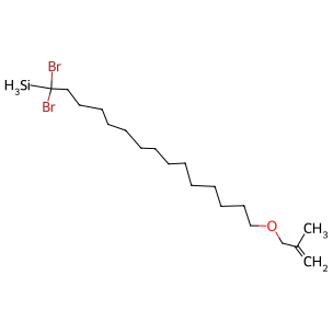 C=C(C)COCCCCCCCCCCCCCCC([SiH3])(Br)Br